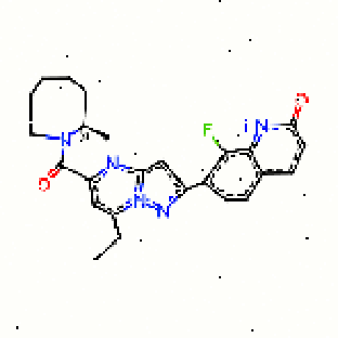 CCc1cc(C(=O)N2CCCCC[C@H]2C)nc2cc(-c3ccc4ccc(=O)[nH]c4c3F)nn12